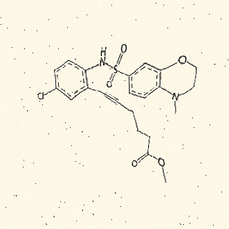 COC(=O)CCCC#Cc1cc(Cl)ccc1NS(=O)(=O)c1ccc2c(c1)OCCN2C